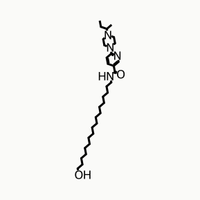 CCC(C)N1CCN(c2ccc(C(=O)NCCCCCCCCCCCCCCCCCCO)cn2)CC1